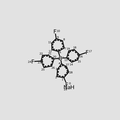 Fc1ccc([B-](c2ccc(F)cc2)(c2ccc(F)cc2)c2ccc(F)cc2)cc1.[NaH]